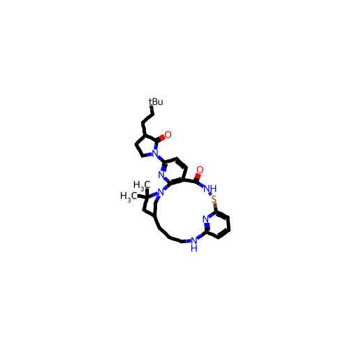 CC(C)(C)CCC1CCN(c2ccc3c(n2)N2CC(CCCNc4cccc(n4)SNC3=O)CC2(C)C)C1=O